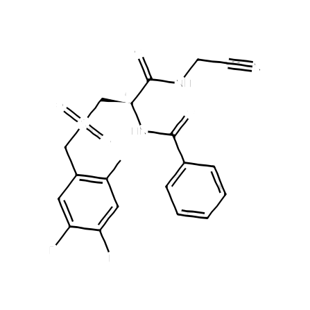 N#CCNC(=O)[C@H](CS(=O)(=O)Cc1cc(F)c(F)cc1F)NC(=O)c1ccccc1